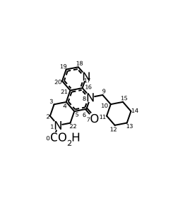 O=C(O)N1CCc2c(c(=O)n(CC3CCCCC3)c3ncccc23)C1